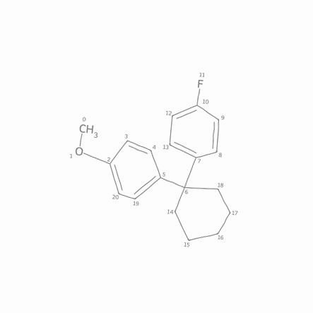 COc1ccc(C2(c3ccc(F)cc3)CCCCC2)cc1